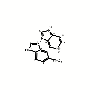 O=[N+]([O-])c1ccc2[nH]cnc2c1.c1nc2c[nH]cnc-2n1